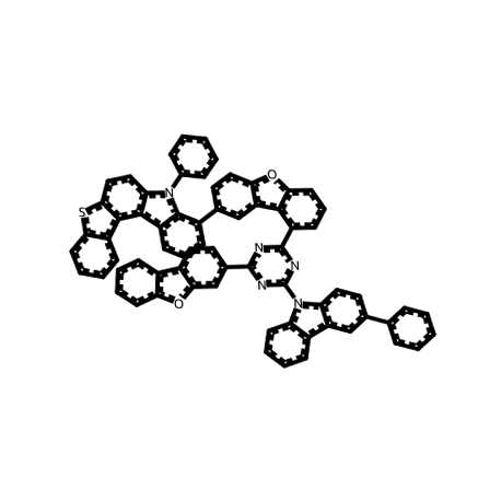 c1ccc(-c2ccc3c(c2)c2ccccc2n3-c2nc(-c3ccc4c(c3)oc3ccccc34)nc(-c3cccc4oc5ccc(-c6cccc7c8c9c(ccc8n(-c8ccccc8)c67)sc6ccccc69)cc5c34)n2)cc1